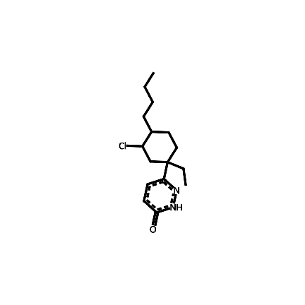 CCCCC1CCC(CC)(c2ccc(=O)[nH]n2)CC1Cl